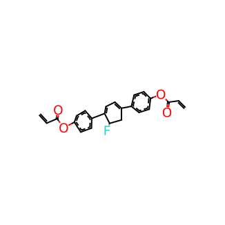 C=CC(=O)Oc1ccc(C2=CC=C(c3ccc(OC(=O)C=C)cc3)C(F)C2)cc1